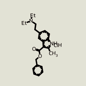 CCN(CC)CCc1ccc2[nH]c(C)c(C(=O)OCc3ccccc3)c2c1.Cl